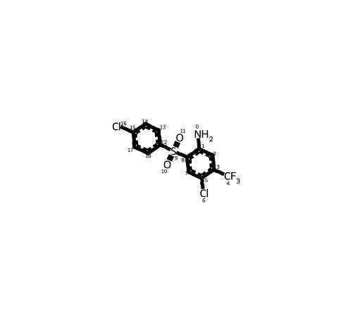 Nc1cc(C(F)(F)F)c(Cl)cc1S(=O)(=O)c1ccc(Cl)cc1